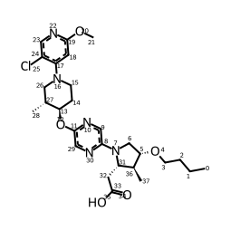 CCCCO[C@H]1CN(c2cnc(O[C@@H]3CCN(c4cc(OC)ncc4Cl)C[C@H]3C)cn2)[C@@H](CC(=O)O)[C@@H]1C